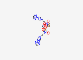 CC1(OC(=O)/C=C\C(=O)OC2(C)SCC(=O)N2CCCCN2CCN(c3ncccn3)CC2)SCC(=O)N1CCCCN1CCN(c2ncccn2)CC1